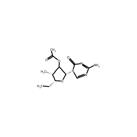 CC[C@H]1O[C@@H](n2cnc(N)nc2=O)C(OC(C)=O)[C@H]1C